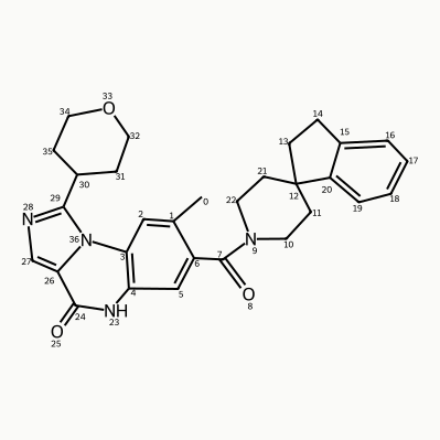 Cc1cc2c(cc1C(=O)N1CCC3(CCc4ccccc43)CC1)[nH]c(=O)c1cnc(C3CCOCC3)n12